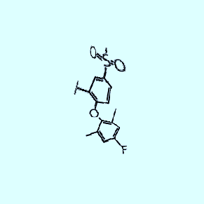 Cc1cc(F)cc(C)c1Oc1ccc(S(C)(=O)=O)cc1I